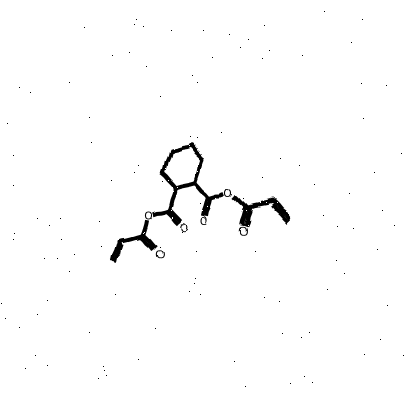 C=CC(=O)OC(=O)C1CCCCC1C(=O)OC(=O)C=C